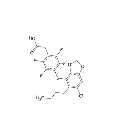 C[CH]CCc1c(Cl)cc2c(c1Sc1c(F)c(F)c(CC(=O)O)c(F)c1F)OCO2